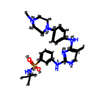 Cc1cnc(Nc2cccc(S(=O)(=O)NC(C)(C)C)c2)nc1Nc1ccc(N2CCN(C)CC2)cc1